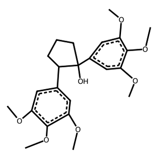 COc1cc(C2CCCC2(O)c2cc(OC)c(OC)c(OC)c2)cc(OC)c1OC